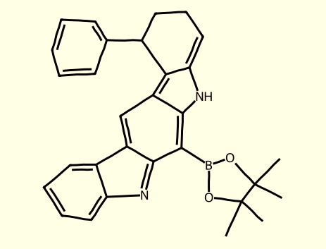 CC1(C)OB(c2c3c(cc4c5c([nH]c24)=CCCC5c2ccccc2)-c2ccccc2N=3)OC1(C)C